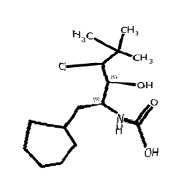 CC(C)(C)C(Cl)[C@@H](O)[C@H](CC1CCCCC1)NC(=O)O